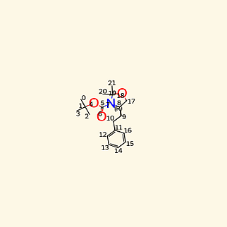 CC(C)(C)OC(=O)N1[C@H](CCc2ccccc2)COC1(C)C